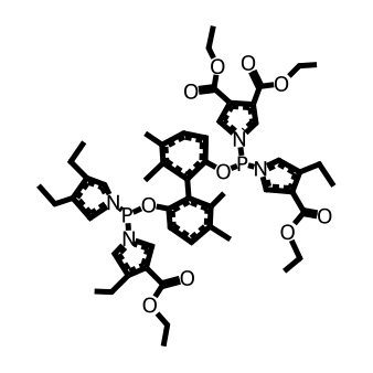 CCOC(=O)c1cn(P(Oc2ccc(C)c(C)c2-c2c(OP(n3cc(CC)c(C(=O)OCC)c3)n3cc(C(=O)OCC)c(C(=O)OCC)c3)ccc(C)c2C)n2cc(CC)c(CC)c2)cc1CC